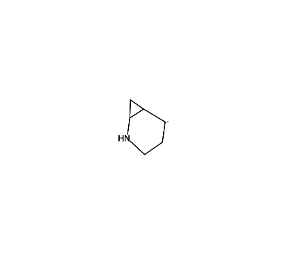 [CH]1CCNC2CC12